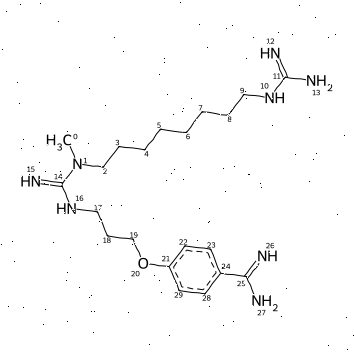 CN(CCCCCCCCNC(=N)N)C(=N)NCCCOc1ccc(C(=N)N)cc1